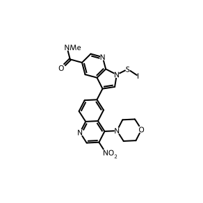 CNC(=O)c1cnc2c(c1)c(-c1ccc3ncc([N+](=O)[O-])c(N4CCOCC4)c3c1)cn2SI